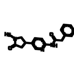 O=C(Cc1ccccc1)Nc1ccc(C2CC(=O)N(S)C2)cn1